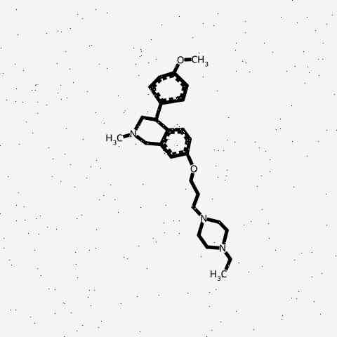 CCN1CCN(CCCOc2ccc3c(c2)CN(C)CC3c2ccc(OC)cc2)CC1